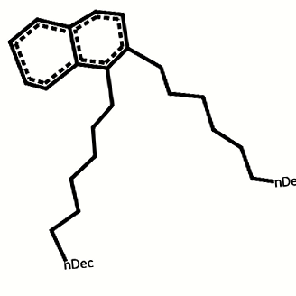 CCCCCCCCCCCCCCCCc1ccc2ccccc2c1CCCCCCCCCCCCCCCC